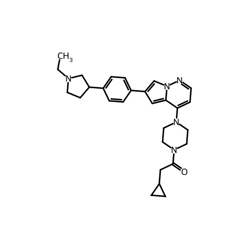 CCN1CCC(c2ccc(-c3cc4c(N5CCN(C(=O)CC6CC6)CC5)ccnn4c3)cc2)C1